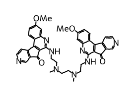 COc1ccc2c3c(c(NCCN(C)CCN(C)CCNc4nc5cc(OC)ccc5c5c4C(=O)c4cnccc4-5)nc2c1)C(=O)c1cnccc1-3